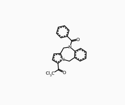 O=C(c1ccccc1)N1Cc2ccc(C(=O)C(Cl)(Cl)Cl)n2Cc2ccccc21